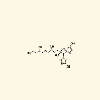 CC(C)(C)CCC(O)CCCC(O)CCC(C)(C)C(c1cc(O)no1)c1cc(O)no1